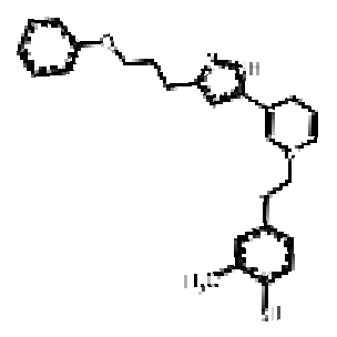 Cc1cc([CH]CN2C=CCC(c3cc(CCCOc4ccccc4)n[nH]3)=C2)ccc1S